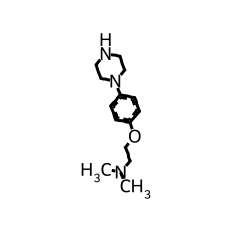 CN(C)CCOc1ccc(N2CCNCC2)cc1